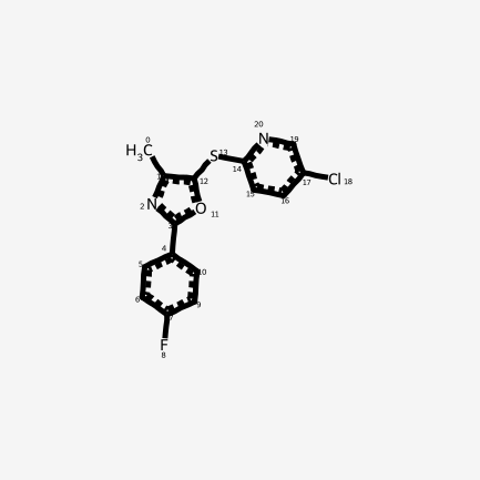 Cc1nc(-c2ccc(F)cc2)oc1Sc1ccc(Cl)cn1